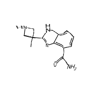 CC1(c2nc3c(C(N)=O)cccc3[nH]2)CNC1